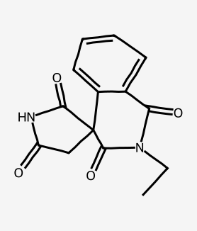 CCN1C(=O)c2ccccc2C2(CC(=O)NC2=O)C1=O